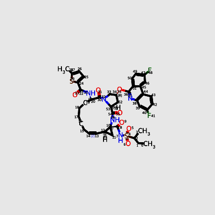 CCC(C)S(=O)(=O)NC(=O)[C@@]12C[C@H]1/C=C\CCCCC[C@H](NC(=O)c1ccc(C)s1)C(=O)N1C[C@H](Oc3nc4cc(F)ccc4c4cc(F)ccc34)C[C@H]1C(=O)N2